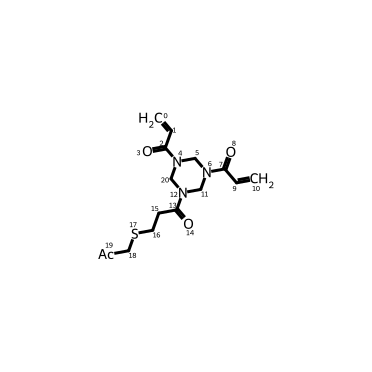 C=CC(=O)N1CN(C(=O)C=C)CN(C(=O)CCSCC(C)=O)C1